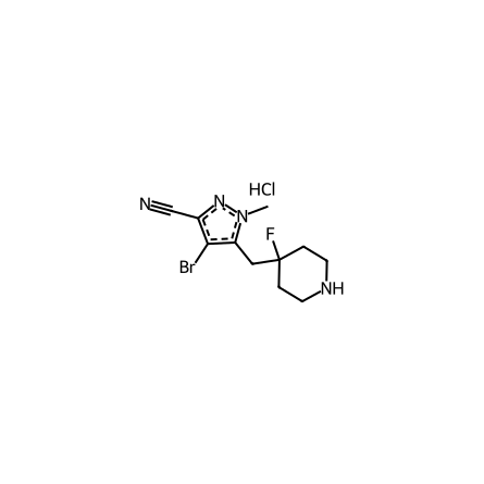 Cl.Cn1nc(C#N)c(Br)c1CC1(F)CCNCC1